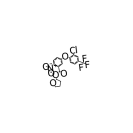 O=C(OC1CCCO1)c1cc(Oc2ccc(C(F)(F)F)cc2Cl)ccc1[N+](=O)[O-]